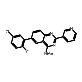 CNc1nc(-c2cccnc2)nc2ccc(-c3cc(Cl)ccc3Cl)cc12